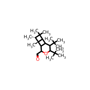 C[C@@H]1C(C)(C)C2C3C(C(C)(C)C)C(C(C)(C)C)OC(C=O)C3[C@@]21C